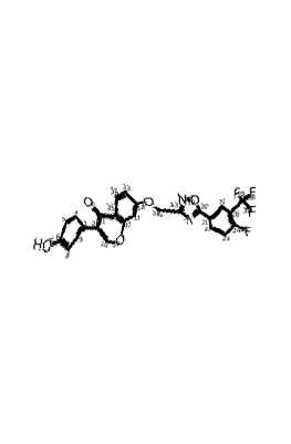 O=c1c(-c2ccc(O)cc2)coc2cc(OCc3noc(-c4ccc(F)c(C(F)(F)F)c4)n3)ccc12